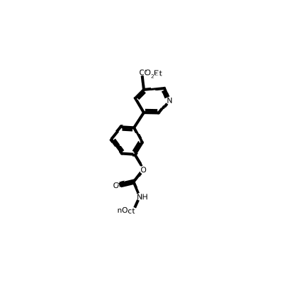 CCCCCCCCNC(=O)Oc1cccc(-c2cncc(C(=O)OCC)c2)c1